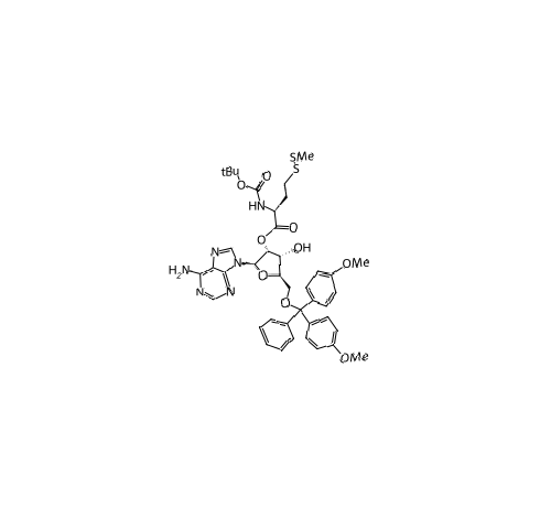 COc1ccc(C(OC[C@H]2O[C@@H](n3cnc4c(N)ncnc43)[C@H](OC(=O)[C@H](CCSSC)NC(=O)OC(C)(C)C)[C@@H]2O)(c2ccccc2)c2ccc(OC)cc2)cc1